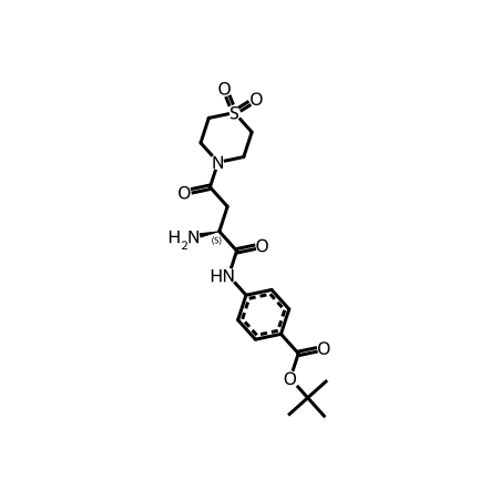 CC(C)(C)OC(=O)c1ccc(NC(=O)[C@@H](N)CC(=O)N2CCS(=O)(=O)CC2)cc1